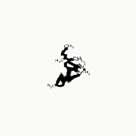 C=C/C=C\C=C(/C)C(=C)c1ccc2c(C3=CCC(C)C=C3)ccnc2c1/N=C\C